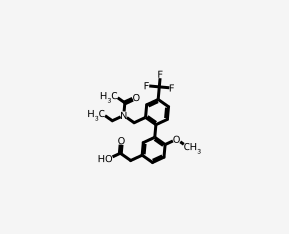 CCN(Cc1cc(C(F)(F)F)ccc1-c1cc(CC(=O)O)ccc1OC)C(C)=O